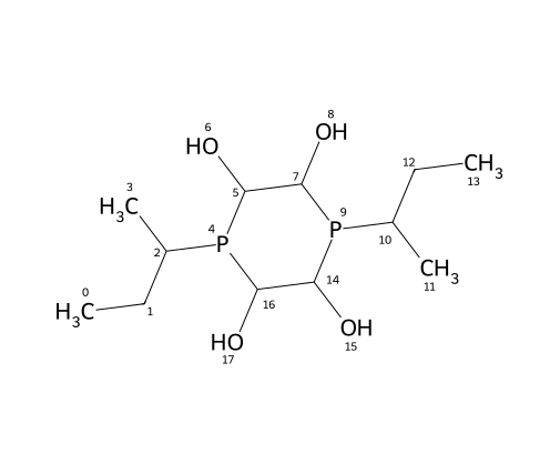 CCC(C)P1C(O)C(O)P(C(C)CC)C(O)C1O